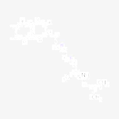 CC(C)CNC(=O)/C=C/C=C/Cc1ccc2ccccc2c1